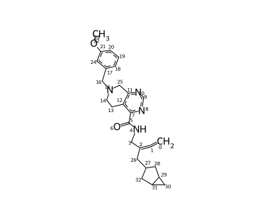 C=C=C(CNC(=O)c1ncnc2c1CCN(Cc1cccc(OC)c1)C2)CC1CC2CC2C1